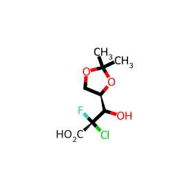 CC1(C)OC[C@H](C(O)[C@@](F)(Cl)C(=O)O)O1